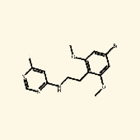 COc1cc(Br)cc(OC)c1CCNc1cc(I)ncn1